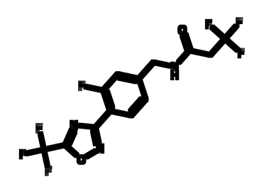 O=C(CC(F)(F)F)NCc1ccc(-c2noc(C(F)(F)F)n2)c(F)c1